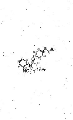 CCCC1CCN(c2ccncc2[N+](=O)[O-])C(Oc2ccc(CCC(C)=O)cc2)C1